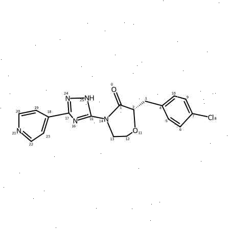 O=C1[C@H](Cc2ccc(Cl)cc2)OCCN1c1nc(-c2ccncc2)n[nH]1